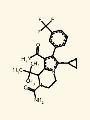 CC(C)(C)C1c2c(C(N)=O)c(-c3cccc(C(F)(F)F)c3)c(C3CC3)n2CCN1C(N)=O